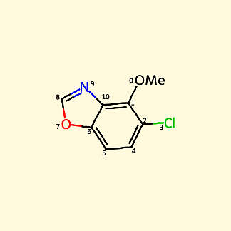 COc1c(Cl)ccc2ocnc12